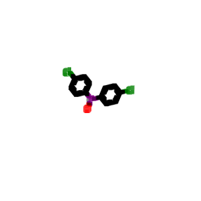 O=[P](c1ccc(Cl)cc1)c1ccc(Cl)cc1